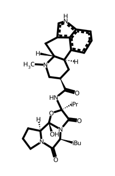 CCC(C)[C@H]1C(=O)N2CCC[C@H]2[C@]2(O)O[C@](NC(=O)[C@@H]3C[C@@H]4c5cccc6[nH]cc(c56)C[C@H]4N(C)C3)(C(C)C)C(=O)N12